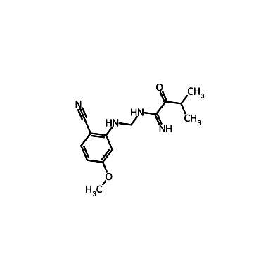 COc1ccc(C#N)c(NCNC(=N)C(=O)C(C)C)c1